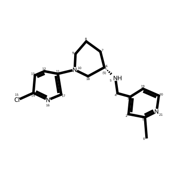 Cc1cc(CN[C@H]2CCCN(c3ccc(Cl)nc3)C2)ccn1